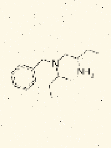 CC[C](C)N(Cc1ccccc1)C[C@@H](N)CC